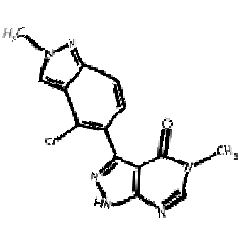 Cn1cc2c(Cl)c(-c3n[nH]c4ncn(C)c(=O)c34)ccc2n1